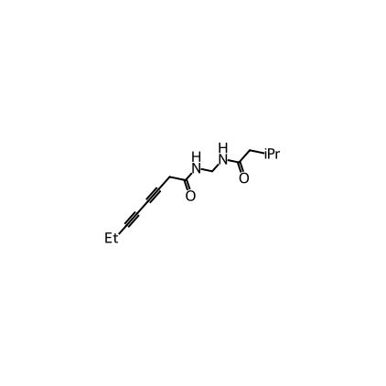 CCC#CC#CCC(=O)NCNC(=O)CC(C)C